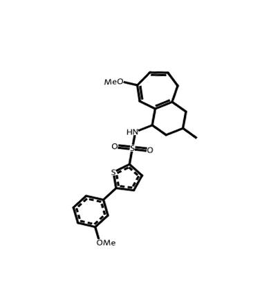 COC1=CC2=C(CC=C1)CC(C)CC2NS(=O)(=O)c1ccc(-c2cccc(OC)c2)s1